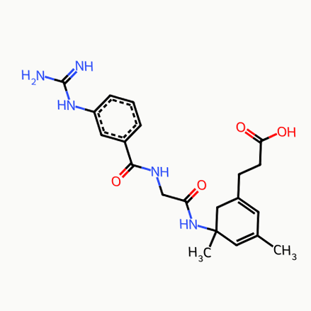 CC1=CC(C)(NC(=O)CNC(=O)c2cccc(NC(=N)N)c2)CC(CCC(=O)O)=C1